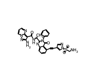 C[C@H](NC(=O)c1c(N)nn2cccnc12)c1nc2cccc(C#Cc3cnn(S(=O)(=O)CN)c3)c2c(=O)n1-c1ccccc1